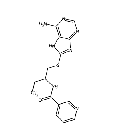 CCC(CSc1nc2ncnc(N)c2[nH]1)NC(=O)c1cccnc1